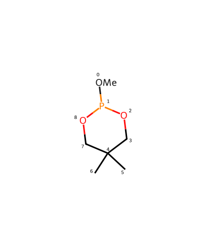 COP1OCC(C)(C)CO1